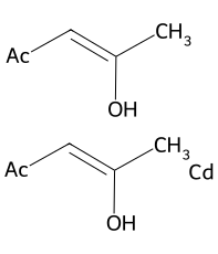 CC(=O)/C=C(/C)O.CC(=O)/C=C(/C)O.[Cd]